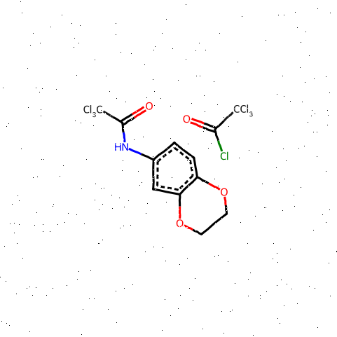 O=C(Cl)C(Cl)(Cl)Cl.O=C(Nc1ccc2c(c1)OCCO2)C(Cl)(Cl)Cl